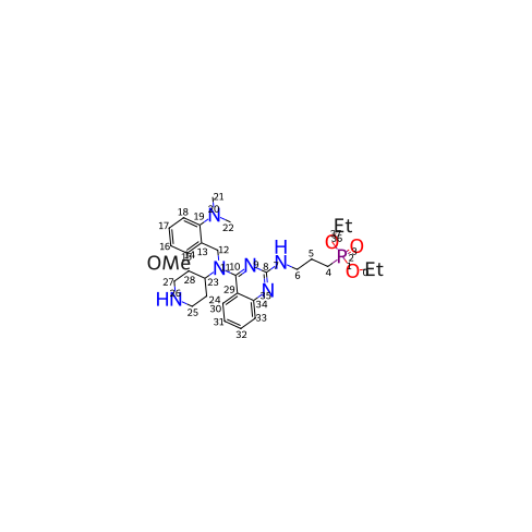 CCOP(=O)(CCCNc1nc(N(Cc2c(OC)cccc2N(C)C)C2CCNCC2)c2ccccc2n1)OCC